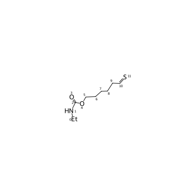 CCNC(=O)OCCCCCC=S